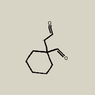 O=C[CH]C1(C=O)CCCCC1